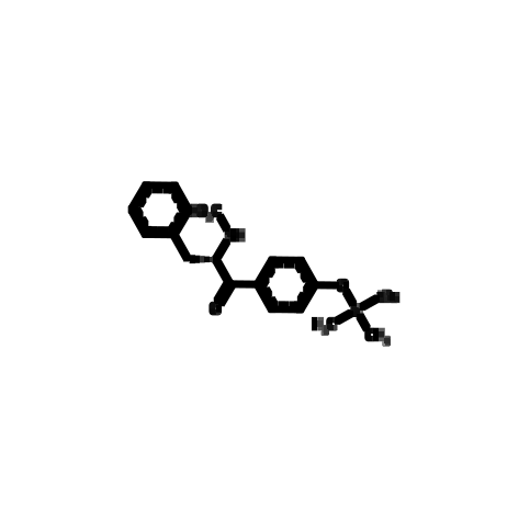 CC(C)(C)[Si](C)(C)Oc1ccc(C(=O)[C@H](Cc2ccccc2)NC(=O)O)cc1